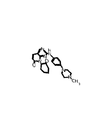 CN1CCN(c2ccc(Nc3ncc4ccc(=O)n(C5CCCCC5=O)c4n3)cc2)CC1